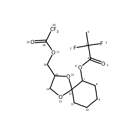 CC(F)(F)C(=O)OC1CCCCC12OCC(COC(=O)C(F)(F)F)O2